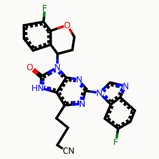 N#CCCCc1nc(-n2cnc3ccc(F)cc32)nc2c1[nH]c(=O)n2C1CCOc2c(F)cccc21